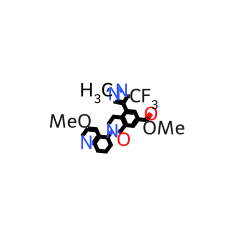 COC(=O)c1cc2c(c(-c3cn(C)nc3C(F)(F)F)c1)CCN(C1CCCc3ncc(OC)cc31)C2=O